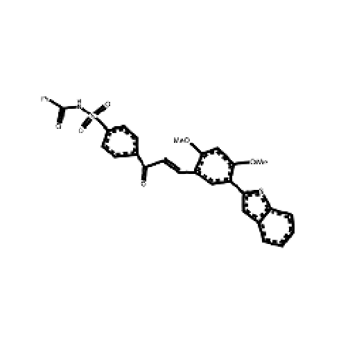 COc1cc(OC)c(-c2cc3ccccc3s2)cc1/C=C/C(=O)c1ccc(S(=O)(=O)NC(=O)C(C)C)cc1